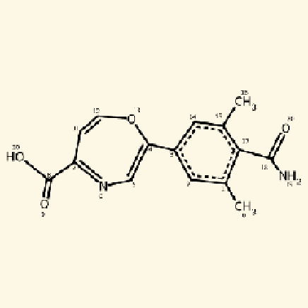 Cc1cc(C2=CN=C(C(=O)O)C=CO2)cc(C)c1C(N)=O